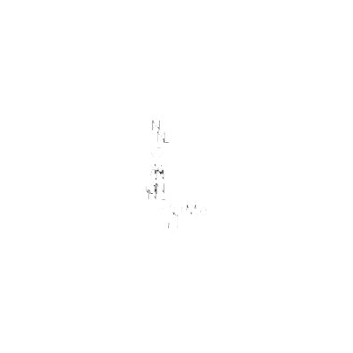 C=C(c1cccc(Cn2nc(-c3nc(-c4ccc(C5(OC)CCOCC5)cc4)no3)cc2C)c1)N1CCN(C)CC1